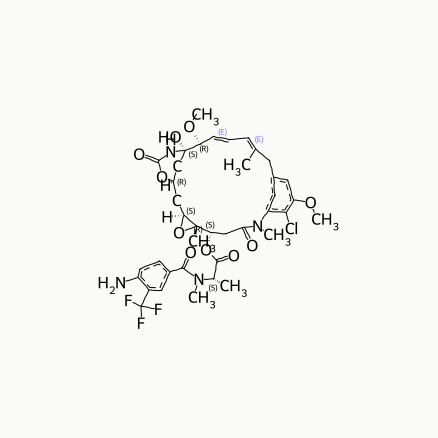 COc1cc2cc(c1Cl)N(C)C(=O)C[C@H](OC(=O)[C@H](C)N(C)C(=O)c1ccc(N)c(C(F)(F)F)c1)[C@]1(C)O[C@H]1C[C@@H]1C[C@@](O)(NC(=O)O1)[C@H](OC)/C=C/C=C(\C)C2